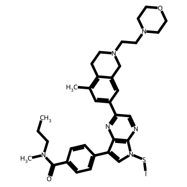 CCCN(C)C(=O)c1ccc(-c2cn(SI)c3ncc(-c4cc(C)c5c(c4)CN(CCN4CCOCC4)CC5)nc23)cc1